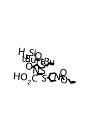 C=CCOC(=O)N1CCC(SC2=C(C(=O)O)N3C(=O)[C@@H](C(O[SiH3])(C(C)(C)C)C(C)(C)C)[C@@]3(SCC=C)S2)CC1